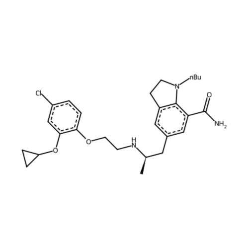 CCCCN1CCc2cc(C[C@@H](C)NCCOc3ccc(Cl)cc3OC3CC3)cc(C(N)=O)c21